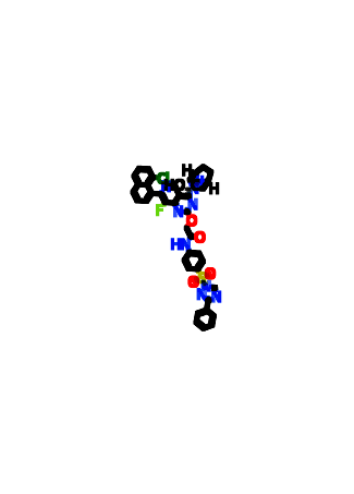 O=C(COc1nc(N2C[C@H]3CC[C@@H](C2)N3C(=O)O)c2cnc(-c3cccc4cccc(Cl)c34)c(F)c2n1)Nc1ccc(S(=O)(=O)n2cnc(-c3ccccc3)n2)cc1